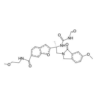 COCCNC(=O)c1ccc2cc([C@](C)(CN3Cc4ccc(OC)cc4C3=O)NC(=O)NC=O)oc2c1